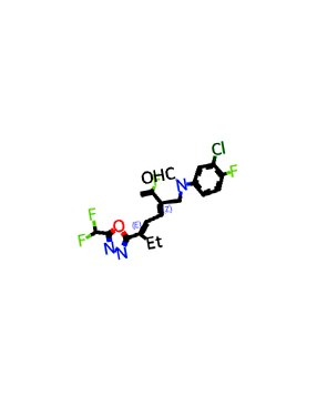 C=C(F)/C(=C\C=C(/CC)c1nnc(C(F)F)o1)CN(C=O)c1ccc(F)c(Cl)c1